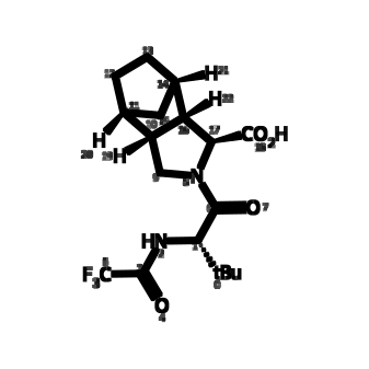 CC(C)(C)[C@H](NC(=O)C(F)(F)F)C(=O)N1C[C@@H]2[C@@H]3CC[C@@H](C3)[C@@H]2[C@H]1C(=O)O